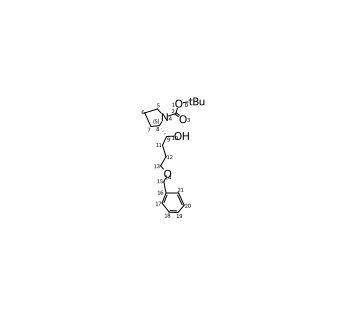 CC(C)(C)OC(=O)N1CCC[C@H]1C(O)CCCOCc1ccccc1